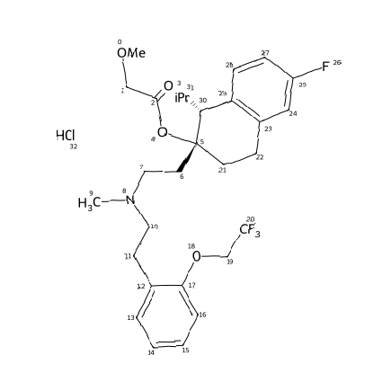 COCC(=O)O[C@@]1(CCN(C)CCc2ccccc2OCC(F)(F)F)CCc2cc(F)ccc2[C@H]1C(C)C.Cl